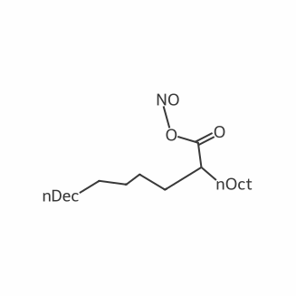 CCCCCCCCCCCCCCC(CCCCCCCC)C(=O)ON=O